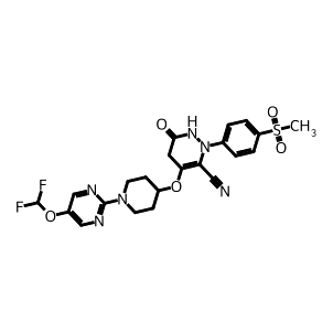 CS(=O)(=O)c1ccc(N2NC(=O)CC(OC3CCN(c4ncc(OC(F)F)cn4)CC3)=C2C#N)cc1